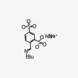 CC(C)(C)N=Cc1ccc(S(=O)(=O)[O-])cc1S(=O)(=O)[O-].[Na+].[Na+]